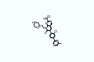 CCNc1ncc2cc(-c3ccc(-c4cncc(C)n4)cc3Cl)c(=O)n(CC[C@@H]3CNCCO3)c2n1